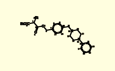 CCOC(=O)C(CC)C(=O)OCc1ccc(CN2CCN(c3ccccc3)CC2)cc1